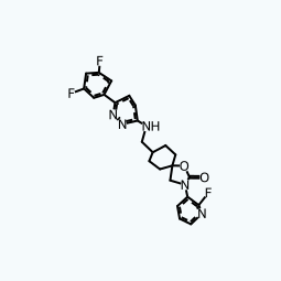 O=C1OC2(CCC(CNc3ccc(-c4cc(F)cc(F)c4)nn3)CC2)CN1c1cccnc1F